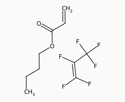 C=CC(=O)OCCCC.FC(F)=C(F)C(F)(F)F